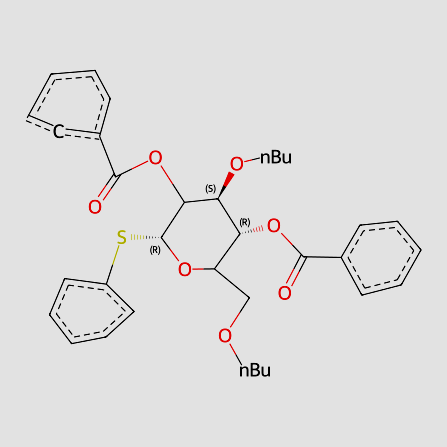 CCCCOCC1O[C@H](Sc2ccccc2)C(OC(=O)c2ccccc2)[C@@H](OCCCC)[C@@H]1OC(=O)c1ccccc1